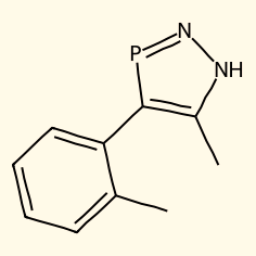 Cc1ccccc1-c1pn[nH]c1C